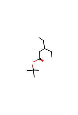 CCC(CC)[C@@H](N)C(=O)OC(C)(C)C